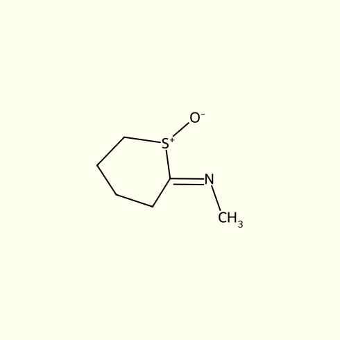 CN=C1CCCC[S+]1[O-]